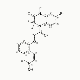 CN1C(=O)C(C)(C)N(C(=O)COc2cccc3c2C=CN(O)C3)c2ccc(F)cc21